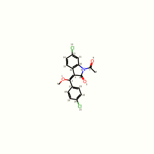 COC(=C1C(=O)N(C(C)=O)c2cc(Cl)ccc21)c1ccc(Cl)cc1